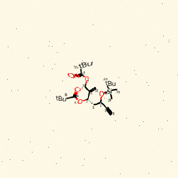 C#CC(C[C@H](OC(=O)C(C)(C)C)C(=C)COC(=O)C(C)(C)C)O[Si](C)(C)C(C)(C)C